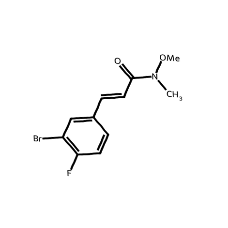 CON(C)C(=O)C=Cc1ccc(F)c(Br)c1